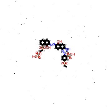 CCS(=O)(=O)c1ccc(/N=N/c2c(NC)ccc3c(O)c(/N=N/c4ccc5cccc(S(=O)(=O)CCOS(=O)(=O)O)c5c4O)ccc23)c(S(=O)(=O)O)c1